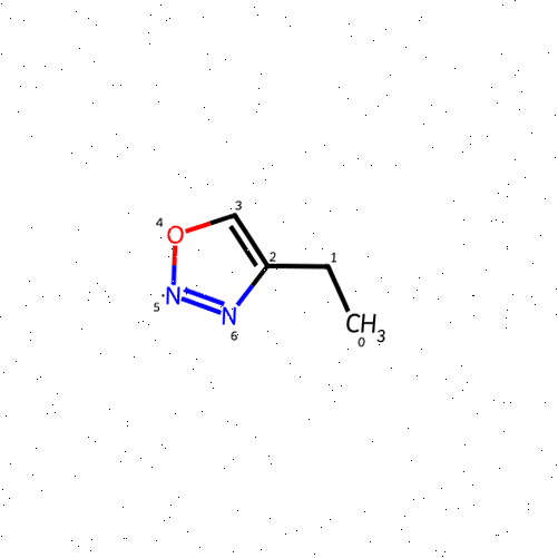 CCC1=CO[N+]=N1